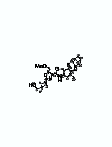 COCc1oc(N2CC(C)(CO)C2)nc1C(=O)Nc1cc(C)c(OC2CC3CC(C3)C2)c(F)c1